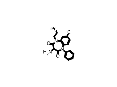 CC(C)CCN1C(=O)C(N)C(=O)N(c2ccccc2)c2ccc(Cl)cc21